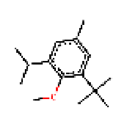 COc1c(C(C)C)cc(C)cc1C(C)(C)C